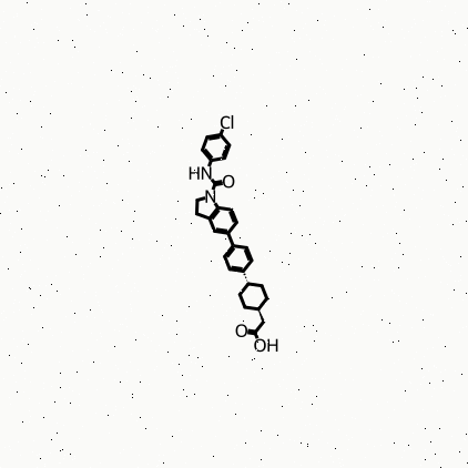 O=C(O)C[C@H]1CC[C@H](c2ccc(-c3ccc4c(c3)CCN4C(=O)Nc3ccc(Cl)cc3)cc2)CC1